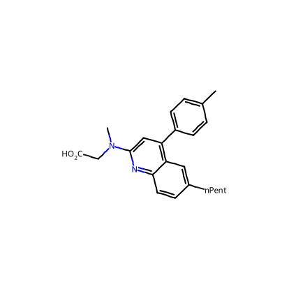 CCCCCc1ccc2nc(N(C)CC(=O)O)cc(-c3ccc(C)cc3)c2c1